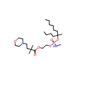 CCCCCCC(C)(CCCC)OP(=O)(NC)SCCOC(=O)C(C)(C)CCN1CCOCC1